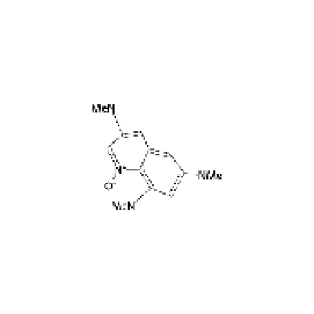 CNc1cc(NC)c2c(c1)cc(NC)c[n+]2[O-]